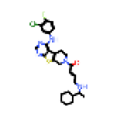 CC(NC/C=C/C(=O)N1CCc2c(sc3ncnc(Nc4ccc(F)c(Cl)c4)c23)C1)C1CCCCC1